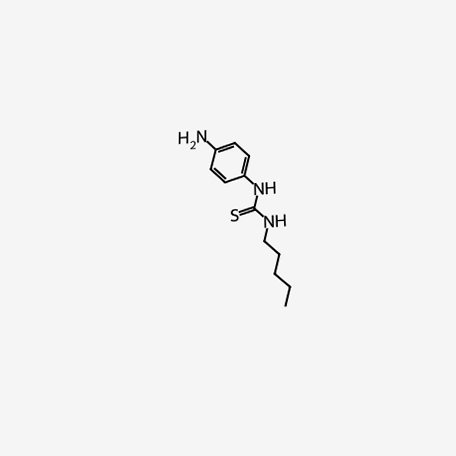 CCCCCNC(=S)Nc1ccc(N)cc1